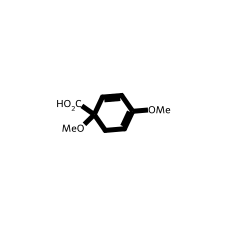 COC1=CCC(OC)(C(=O)O)C=C1